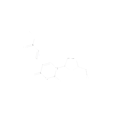 COC(=O)/C=C/c1cn(C2COC(CO)O2)c(=O)[nH]c1=O